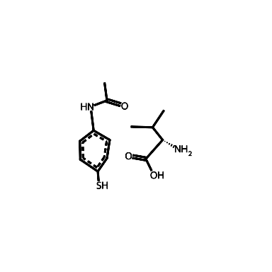 CC(=O)Nc1ccc(S)cc1.CC(C)[C@H](N)C(=O)O